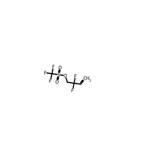 C=CC(F)(F)COS(=O)(=O)C(F)(F)F